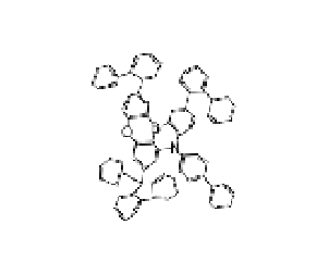 c1ccc(-c2ccc(N3c4ccc(-c5ccccc5-c5ccccc5)cc4B4c5cc(-c6ccccc6-c6ccccc6)ccc5Oc5cc(C6(c7ccccc7)c7ccccc7-c7ccccc76)cc3c54)cc2)cc1